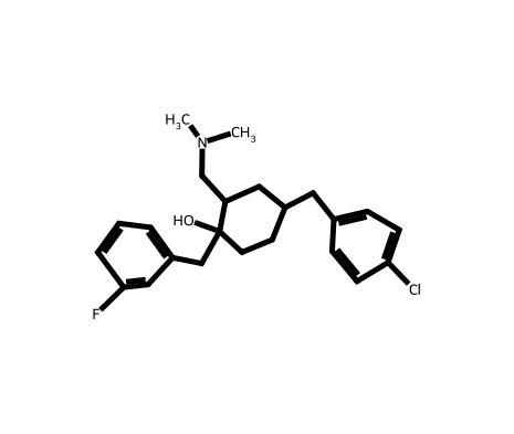 CN(C)CC1CC(Cc2ccc(Cl)cc2)CCC1(O)Cc1cccc(F)c1